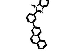 Cn1c(-c2cccc(-c3ccc4c(ccc5ccccc54)c3)c2)nc2ccccc21